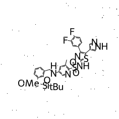 COc1cccc(CNc2cnc(S(=O)(=O)Nc3nc(-c4ccc(F)c(F)c4)c(-c4cn[nH]c4)s3)c(C)c2)c1O[Si](C)(C)C(C)(C)C